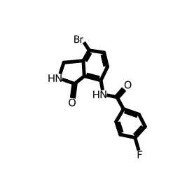 O=C(Nc1ccc(Br)c2c1C(=O)NC2)c1ccc(F)cc1